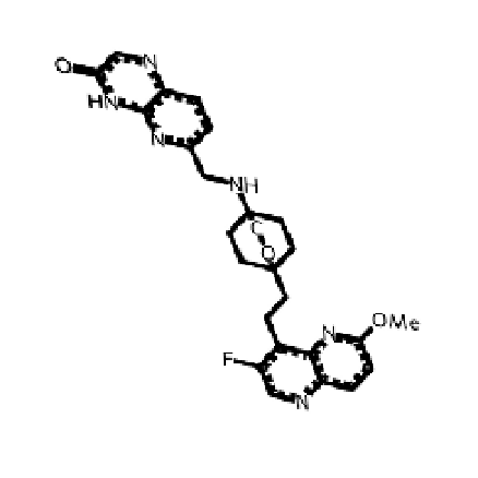 COc1ccc2ncc(F)c(CCC34CCC(NCc5ccc6ncc(=O)[nH]c6n5)(CC3)CO4)c2n1